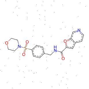 O=C(NCc1ccc(S(=O)(=O)N2CCOCC2)cc1)c1cc2ccncc2o1